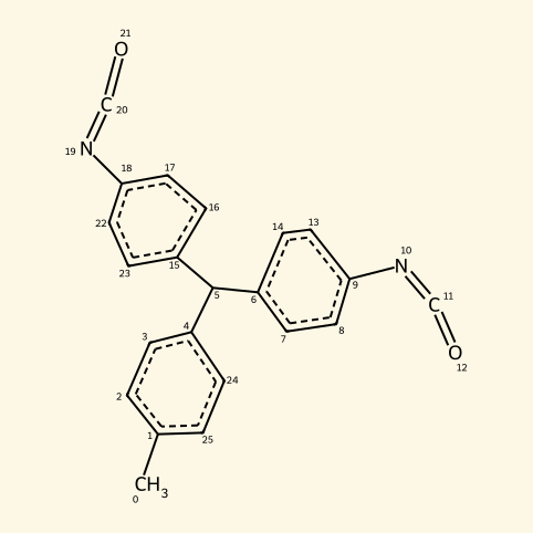 Cc1ccc(C(c2ccc(N=C=O)cc2)c2ccc(N=C=O)cc2)cc1